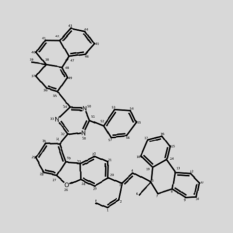 C/C=C\C(=C/C1(C)Cc2ccccc2-c2ccccc21)c1ccc2c(c1)oc1cccc(-c3nc(C4=CCC5(C)C=Cc6ccccc6C5=C4)nc(-c4ccccc4)n3)c12